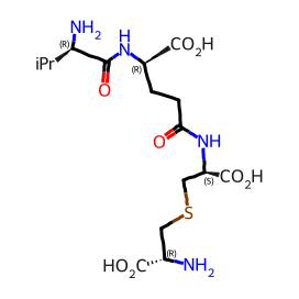 CC(C)[C@@H](N)C(=O)N[C@H](CCC(=O)N[C@H](CSC[C@H](N)C(=O)O)C(=O)O)C(=O)O